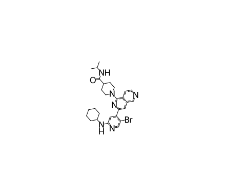 CC(C)NC(=O)C1CCN(c2nc(-c3cc(NC4CCCCC4)ncc3Br)cc3cnccc23)CC1